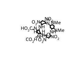 CNc1cc(NC)c2cc1Nc1cc(c([N+](=O)[O-])cc1[N+](=O)[O-])Nc1cc(c(NCC(=O)O)cc1NCC(=O)O)Nc1cc(c([N+](=O)[O-])cc1[N+](=O)[O-])N2